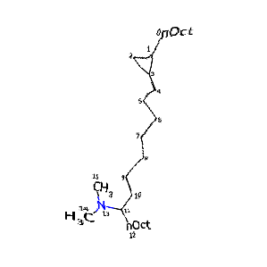 CCCCCCCCC1CC1CCCCCCCC(CCCCCCCC)N(C)C